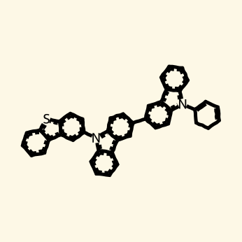 C1=CCCC(n2c3ccccc3c3cc(-c4ccc5c(c4)c4ccccc4n5-c4ccc5sc6ccccc6c5c4)ccc32)=C1